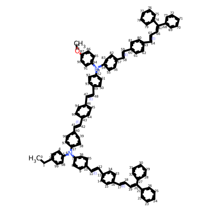 CCc1ccc(N(c2ccc(/C=C/c3ccc(/C=C/C=C(c4ccccc4)c4ccccc4)cc3)cc2)c2ccc(/C=C/c3ccc(/C=C/c4ccc(N(c5ccc(/C=C/c6ccc(/C=C/C=C(c7ccccc7)c7ccccc7)cc6)cc5)c5ccc(OC)cc5)cc4)cc3)cc2)cc1